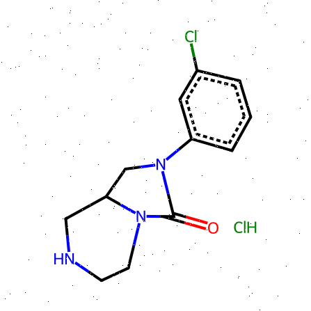 Cl.O=C1N(c2cccc(Cl)c2)CC2CNCCN12